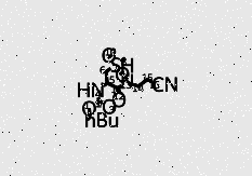 CCCCOC(=O)NC(CS(C)(=O)=O)C(=O)NCCC#N